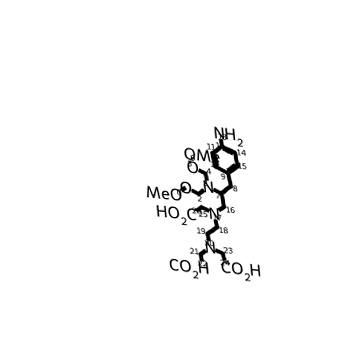 COOCN(COOC)C(Cc1ccc(N)cc1)CN(CCN(CC(=O)O)CC(=O)O)CC(=O)O